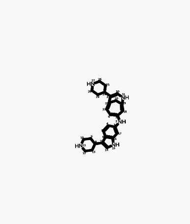 C1=C(Nc2ccc3c(C4CCNCC4)c[nH]c3c2)C=C2CC(=C1)C(C1CCNCC1)=CN2